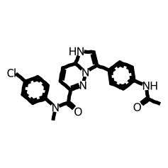 CC(=O)Nc1ccc(C2=CNC3C=CC(C(=O)N(C)c4ccc(Cl)cc4)=NN23)cc1